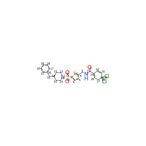 O=C(NCc1ccc(S(=O)(=O)N2CCC(Cc3ccccc3)CC2)s1)C1=CCC(Cl)(Cl)C=C1